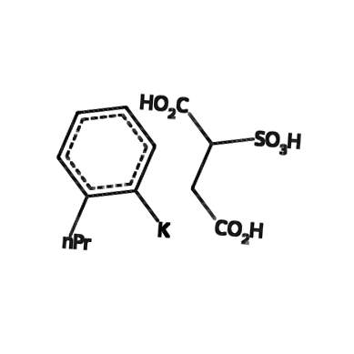 CCCc1cccc[c]1[K].O=C(O)CC(C(=O)O)S(=O)(=O)O